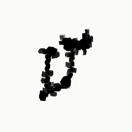 CC[C@@]1(O)C(=O)OCc2c1cc1n(c2=S)Cc2c-1nc1cc(F)c(C)c3c1c2[C@H](NC(=O)COCNC(=O)OCc1ccc(NC(=O)CNC(=O)[C@H](Cc2ccccc2)NC(=O)CNC(=O)CNC(=O)CCCCCN2C(=O)C=CC2=O)cc1)CC3